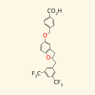 O=C(O)c1ccc(COc2ccc3c(c2)CC(Cc2cc(C(F)(F)F)cc(C(F)(F)F)c2)O3)cc1